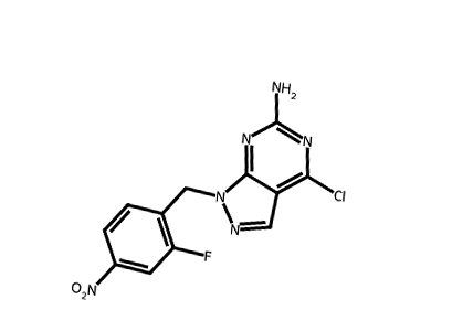 Nc1nc(Cl)c2cnn(Cc3ccc([N+](=O)[O-])cc3F)c2n1